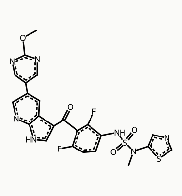 COc1ncc(-c2cnc3[nH]cc(C(=O)c4c(F)ccc(NS(=O)(=O)N(C)c5cncs5)c4F)c3c2)cn1